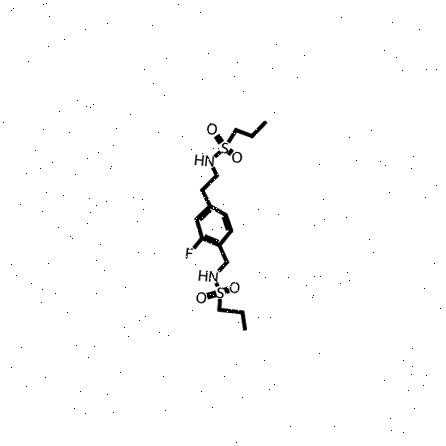 CCCS(=O)(=O)NCCc1ccc(CNS(=O)(=O)CCC)c(F)c1